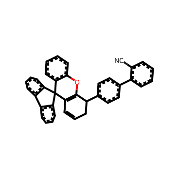 N#Cc1ccccc1-c1ccc(C2CC=CC3=C2Oc2ccccc2C32c3ccccc3-c3ccccc32)cc1